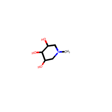 CN1CC(O)C(O)C(O)C1